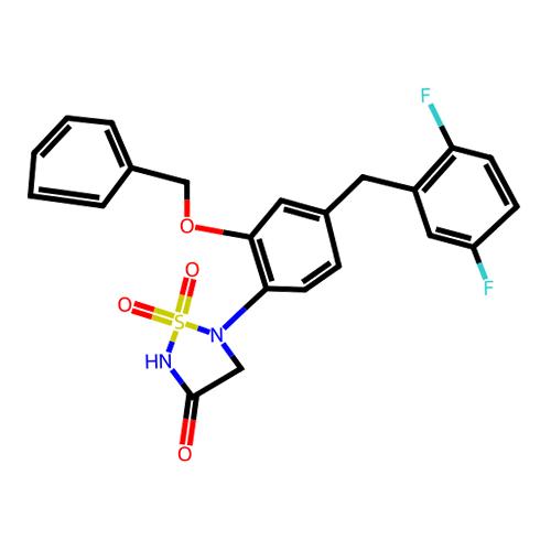 O=C1CN(c2ccc(Cc3cc(F)ccc3F)cc2OCc2ccccc2)S(=O)(=O)N1